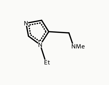 [CH2]NCc1cncn1CC